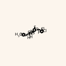 CN1CCN(CCNC(=O)Nc2nc3cc(F)c(OCCc4c(F)ccc(Cl)c4Cl)cc3s2)CC1